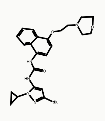 CC(C)(C)c1cc(NC(=O)Nc2ccc(OCCN3CCOCC3)c3ccccc23)n(C2CC2)n1